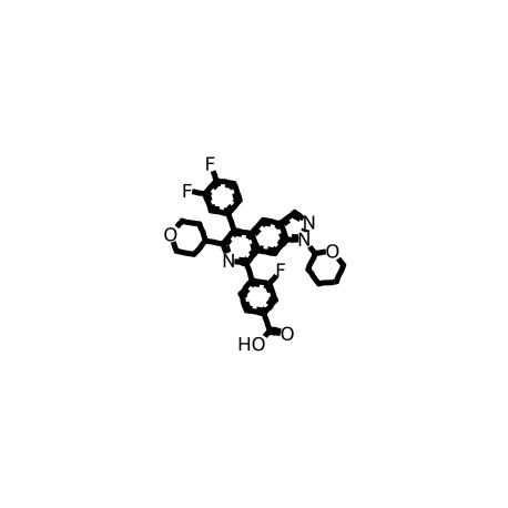 O=C(O)c1ccc(-c2nc(C3CCOCC3)c(-c3ccc(F)c(F)c3)c3cc4cnn(C5CCCCO5)c4cc23)c(F)c1